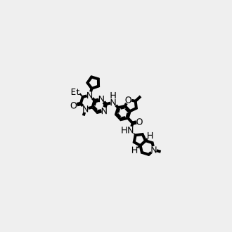 CC[C@@H]1C(=O)N(C)c2cnc(Nc3ccc(C(=O)N[C@H]4C[C@H]5CCN(C)C[C@H]5C4)c4c3OC(C)C4)nc2N1C1CCCC1